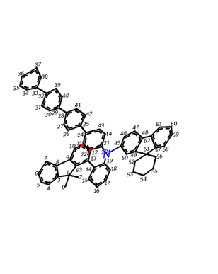 CC1(C)c2ccccc2-c2cccc(-c3ccccc3N(c3ccc(-c4ccc(-c5ccc(-c6ccccc6)cc5)cc4)cc3)c3ccc4c(c3)C3(CCCCC3)c3ccccc3-4)c21